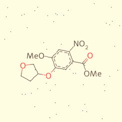 COC(=O)c1cc(OC2CCOC2)c(OC)cc1[N+](=O)[O-]